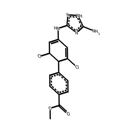 COC(=O)c1ccc(C2C(Cl)=CC(Nc3n[nH]c(N)n3)=CC2Cl)cc1